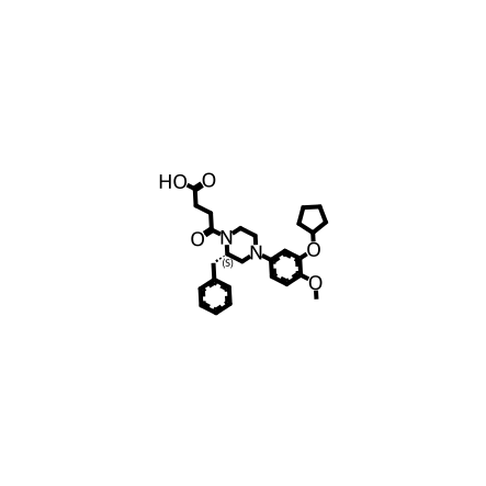 COc1ccc(N2CCN(C(=O)CCC(=O)O)[C@@H](Cc3ccccc3)C2)cc1OC1CCCC1